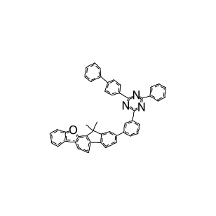 CC1(C)c2cc(-c3cccc(-c4nc(-c5ccccc5)nc(-c5ccc(-c6ccccc6)cc5)n4)c3)ccc2-c2ccc3c(oc4ccccc43)c21